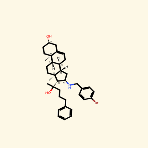 CC(O)(CCCc1ccccc1)[C@H]1[C@H](NCc2ccc(Br)cc2)C[C@H]2[C@@H]3CC=C4C[C@@H](O)CC[C@]4(C)[C@H]3CC[C@]12C